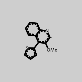 COc1[c]nc2ccccc2c1-c1cccs1